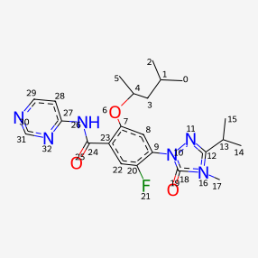 CC(C)CC(C)Oc1cc(-n2nc(C(C)C)n(C)c2=O)c(F)cc1C(=O)Nc1ccncn1